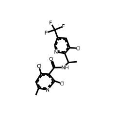 Cc1cc(Cl)c(C(=O)NC(C)c2ncc(C(F)(F)F)cc2Cl)c(Cl)n1